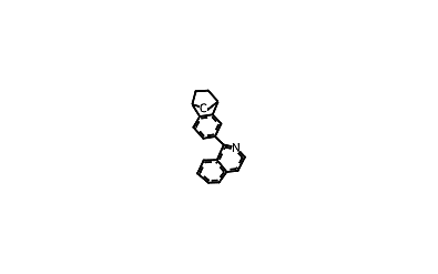 c1ccc2c(-c3ccc4c(c3)C3CCC4CC3)nccc2c1